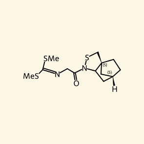 CSC(=NCC(=O)N1SC[C@]23CC[C@H](CC12)C3)SC